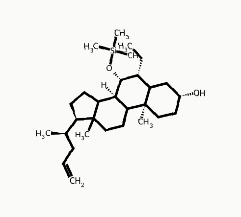 C=CC[C@@H](C)[C@H]1CCC2[C@@H]3C(CCC21C)[C@]1(C)CC[C@@H](O)CC1[C@@H](CC)[C@H]3O[Si](C)(C)C